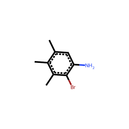 Cc1cc(N)c(Br)c(C)c1C